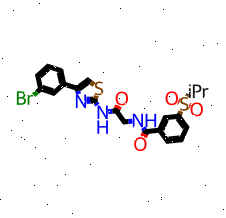 CC(C)S(=O)(=O)c1cccc(C(=O)NCC(=O)Nc2nc(-c3cccc(Br)c3)cs2)c1